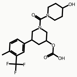 Cc1ccc(C2CC(OC(=O)O)CN(C(=O)N3CCC(O)CC3)C2)cc1C(F)(F)F